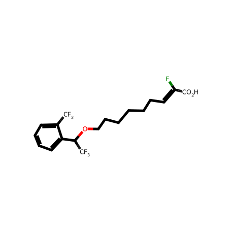 O=C(O)C(F)=CCCCCCCOC(c1ccccc1C(F)(F)F)C(F)(F)F